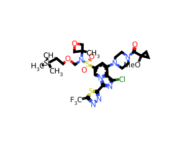 COC1(C(=O)N2CCN(c3cc(S(=O)(=O)N(COCC[Si](C)(C)C)C4(C)COC4)cn4c(-c5nnc(C(F)(F)F)s5)nc(Cl)c34)CC2)CC1